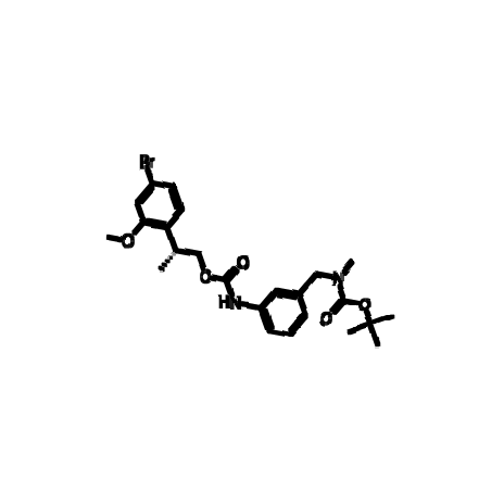 COc1cc(Br)ccc1[C@@H](C)COC(=O)Nc1cccc(CN(C)C(=O)OC(C)(C)C)c1